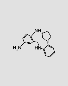 Nc1ccc(N)c(CNc2ccccc2N2CCCC2)c1